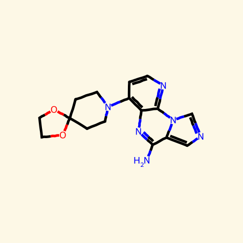 Nc1nc2c(N3CCC4(CC3)OCCO4)ccnc2n2cncc12